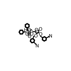 N#Cc1cccc(COC2=C(OCc3cccc(C#N)c3)[C@@H]([C@H](CO)OP(=O)(OCc3ccccc3)OCc3ccccc3)OC2=O)c1